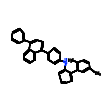 Cc1ccc(C)c(-c2ccccc2Nc2ccc(-c3ccc(-c4ccccc4)c4ccccc34)cc2)c1